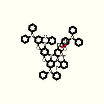 Fc1cccc(F)c1N1c2cc(N(c3ccccc3)c3ccccc3)cc3c2B(c2cc4c(cc2O3)Oc2cc(N(c3ccccc3)c3ccccc3)cc3c2B4c2ccccc2O3)c2cc3c(nc21)Oc1cc(N(c2ccccc2)c2ccccc2)cc2c1B3c1ccccc1O2